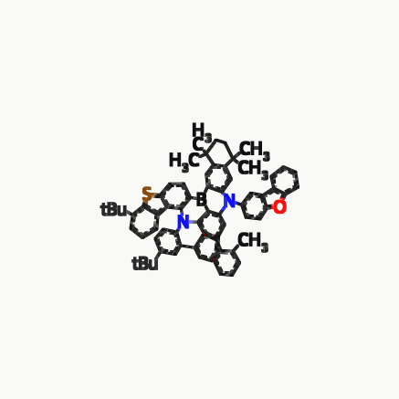 Cc1ccccc1-c1cc2c3c(c1)N(c1ccc(C(C)(C)C)cc1-c1ccccc1)c1c(ccc4sc5c(C(C)(C)C)cccc5c14)B3c1cc3c(cc1N2c1ccc2oc4ccccc4c2c1)C(C)(C)CCC3(C)C